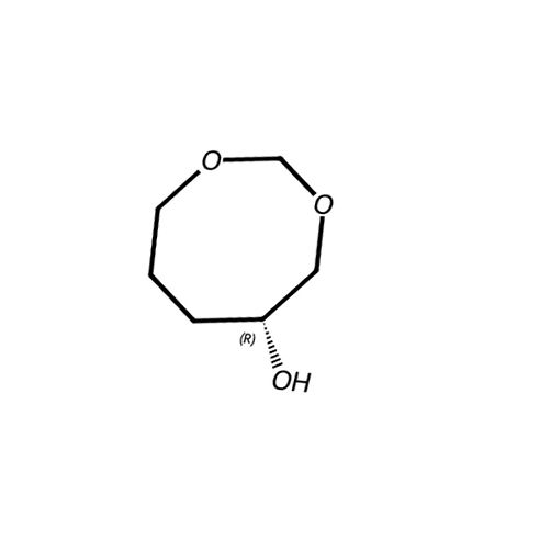 O[C@@H]1CCCOCOC1